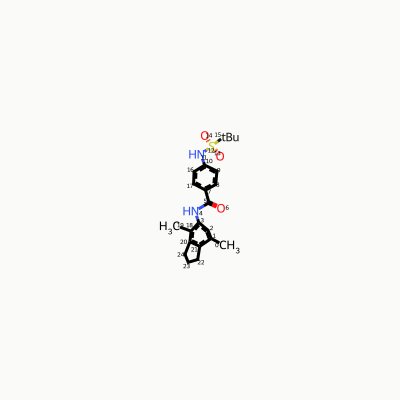 Cc1cc(NC(=O)c2ccc(NS(=O)(=O)C(C)(C)C)cc2)c(C)c2c1CCC2